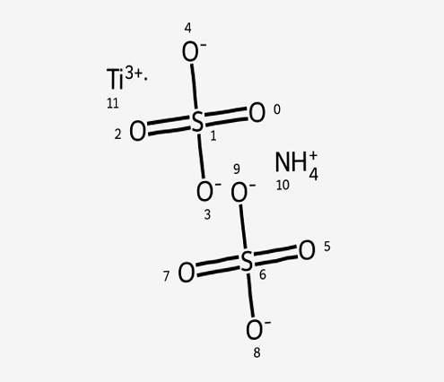 O=S(=O)([O-])[O-].O=S(=O)([O-])[O-].[NH4+].[Ti+3]